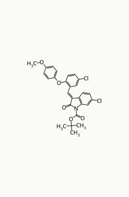 COc1ccc(Oc2ccc(Cl)cc2/C=C2/C(=O)N(C(=O)OC(C)(C)C)c3cc(Cl)ccc32)cc1